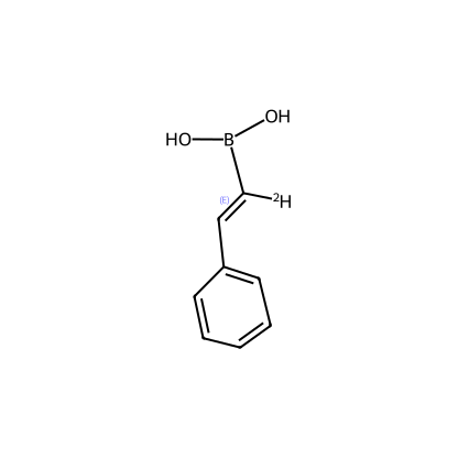 [2H]/C(=C\c1ccccc1)B(O)O